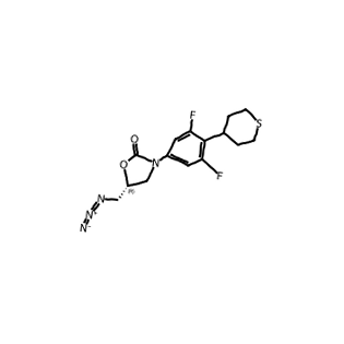 [N-]=[N+]=NC[C@H]1CN(c2cc(F)c(C3CCSCC3)c(F)c2)C(=O)O1